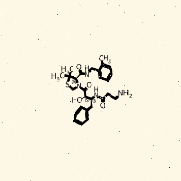 Cc1ccccc1CNC(=O)[C@H]1N(C(=O)[C@@H](O)[C@H](Cc2ccccc2)NC(=O)CCN)CSC1(C)C